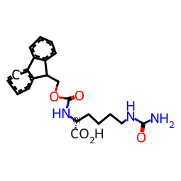 NC(=O)NCCCC[C@@H](NC(=O)OCC1c2ccccc2-c2ccccc21)C(=O)O